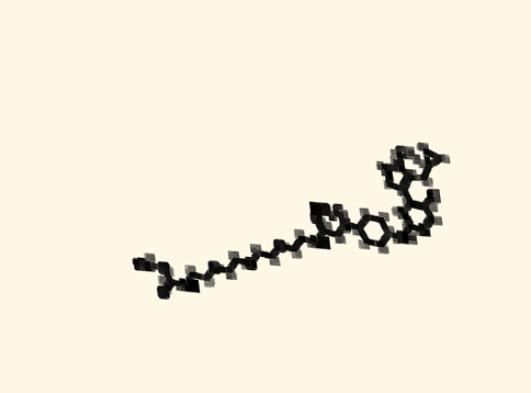 Cn1ncc(-c2nc(NC3CCC(N(CC(=O)NCCOCCOCCOCCNC(=O)OC(C)(C)C)C(=O)O)CC3)ncc2Cl)c1CC1CC1